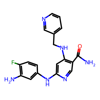 NC(=O)c1cnc(Nc2ccc(F)c(N)c2)cc1NCc1cccnc1